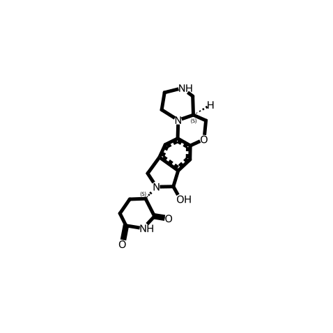 O=C1CC[C@H](N2Cc3cc4c(cc3C2O)OC[C@@H]2CNCCN42)C(=O)N1